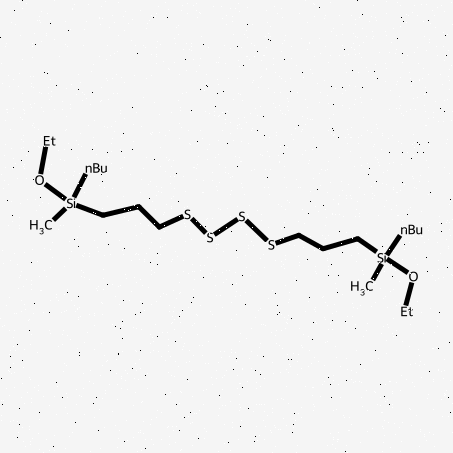 CCCC[Si](C)(CCCSSSSCCC[Si](C)(CCCC)OCC)OCC